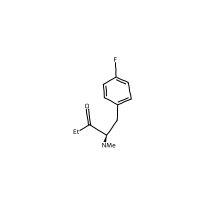 CCC(=O)[C@@H](Cc1ccc(F)cc1)NC